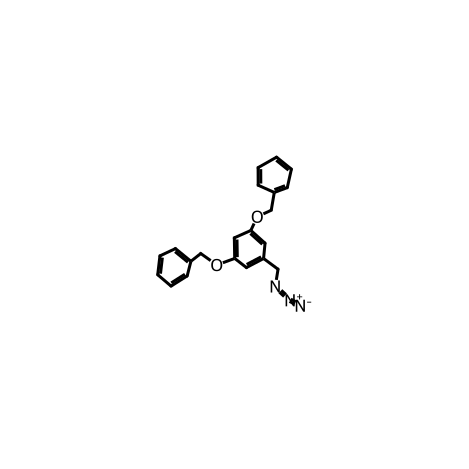 [N-]=[N+]=NCc1cc(OCc2ccccc2)cc(OCc2ccccc2)c1